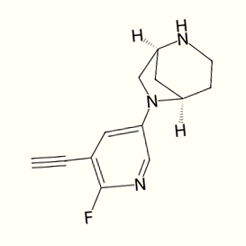 C#Cc1cc(N2C[C@@H]3C[C@H]2CCN3)cnc1F